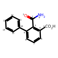 NC(=O)c1c(C(=O)O)cccc1-c1ccccc1